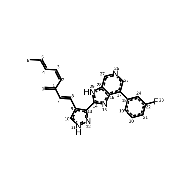 C=C(/C=C\C=C\C)/C=C/c1c[nH]nc1-c1nc2c(-c3cccc(F)c3)cncc2[nH]1